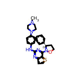 CN1CCN(c2ccc(Nc3nc(N4OCC[C@H]4c4ccccc4)c4sccc4n3)cc2)CC1